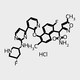 Cc1cc(C(c2c(F)ccc3c(Oc4ncccc4-c4ccnc(N[C@@H]5CNC[C@@H](F)C5)n4)c(C)ccc23)S(N)(=O)=O)no1.Cl